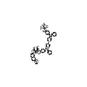 COc1ccc2ccc(OC(F)(F)C(F)Oc3ccc(N(c4ccccc4)c4ccc(-c5ccc(N(c6ccccc6)c6ccc(OC(F)C(C)(F)F)cc6)cc5)cc4)cc3)cc2c1